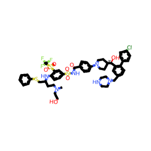 CN(CCO)CCC(CSc1ccccc1)Nc1ccc(S(=O)(=O)NC(=O)c2ccc(N3CCC([C@@H](O)c4cc(CN5CCNCC5)ccc4-c4ccc(Cl)cc4)CC3)cc2)cc1S(=O)(=O)C(F)(F)F